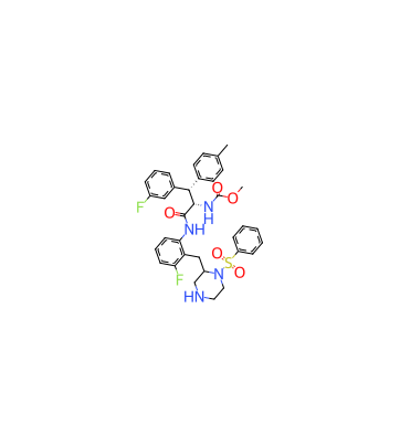 COC(=O)N[C@H](C(=O)Nc1cccc(F)c1CC1CNCCN1S(=O)(=O)c1ccccc1)[C@@H](c1ccc(C)cc1)c1cccc(F)c1